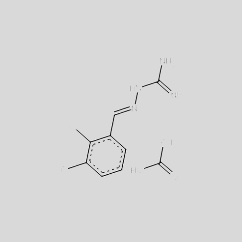 CC(=O)O.N=C(N)N/N=C/c1cccc(Cl)c1Cl